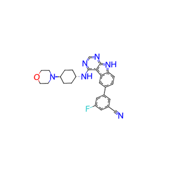 N#Cc1cc(F)cc(-c2ccc3[nH]c4ncnc(N[C@H]5CC[C@H](N6CCOCC6)CC5)c4c3c2)c1